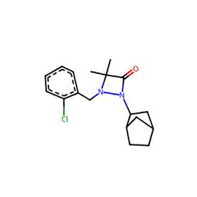 CC1(C)C(=O)N(C2CC3CCC2C3)N1Cc1ccccc1Cl